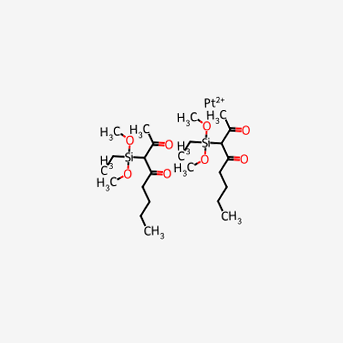 CCCCC(=O)C(C(C)=O)[Si](CC)(OC)OC.CCCCC(=O)C(C(C)=O)[Si](CC)(OC)OC.[Pt+2]